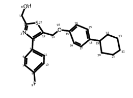 OCc1nc(-c2ccc(F)cc2)c(COc2c[c]c(C3CCCCC3)cc2)s1